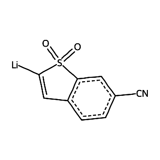 [Li][C]1=Cc2ccc(C#N)cc2S1(=O)=O